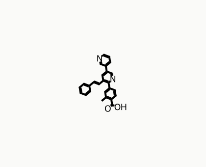 Cc1cc(-c2ncc(-c3cccnc3)cc2/C=C/c2ccccc2)ccc1C(=O)O